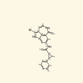 O=C1NN=Cc2c(Br)[nH]c3cc(NC(=O)C4CC4c4cccnc4)cc1c23